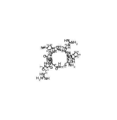 CC(=O)N[C@@H](CCCNC(=N)N)C(=O)N[C@H]1CCC(=O)NCCC[C@@H](C(N)=O)NC(=O)[C@H](Cc2c[nH]c3ccccc23)NC(=O)[C@H](CCCNC(=N)N)NC(=O)[C@@H](Cc2ccc(C#N)cc2)NC(=O)[C@H](CC(N)=O)NC1=O